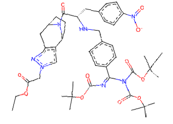 CCOC(=O)Cn1cc2c(n1)CC1CCC2N1C(=O)[C@H](Cc1ccc([N+](=O)[O-])cc1)NCc1ccc(C(=NC(=O)OC(C)(C)C)N(C(=O)OC(C)(C)C)C(=O)OC(C)(C)C)cc1